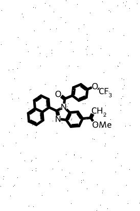 C=C(OC)c1ccc2nc(-c3cccc4ccccc34)n(C(=O)c3ccc(OC(F)(F)F)cc3)c2c1